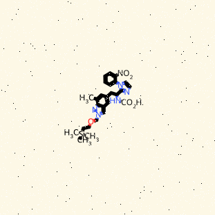 Cc1cc(CC(NC(=O)O)c2nccn2-c2ccccc2[N+](=O)[O-])cc2cn(COCC[Si](C)(C)C)nc12